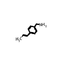 CC=Cc1ccc(CN)cc1